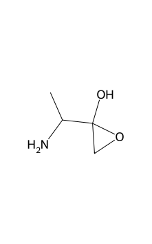 CC(N)C1(O)CO1